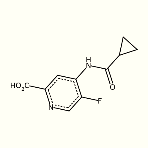 O=C(O)c1cc(NC(=O)C2CC2)c(F)cn1